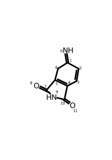 N=C1C=CC2=C(C1)C(=O)NC2=O